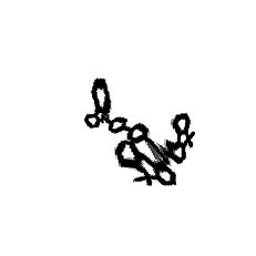 CC1(C)c2ccccc2-c2cc(N(c3ccc(-c4ccc(-n5c6ccccc6c6ccccc65)cc4)cc3)c3cccc4c3-c3ccccc3C4(C)C)ccc21